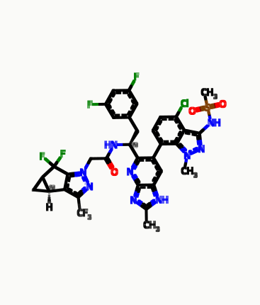 Cc1nc2nc([C@H](Cc3cc(F)cc(F)c3)NC(=O)Cn3nc(C(F)(F)F)c4c3C(F)(F)C3C[C@H]43)c(-c3ccc(Cl)c4c(NS(C)(=O)=O)nn(C)c34)cc2[nH]1